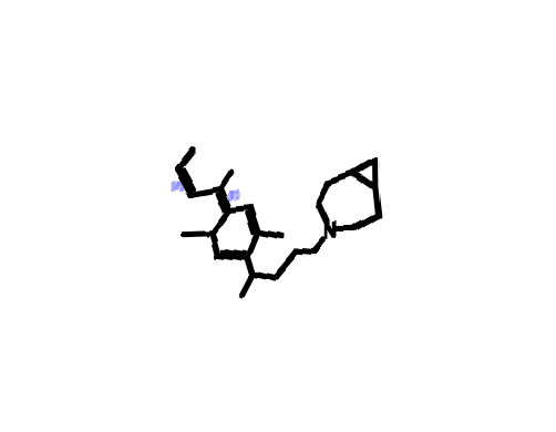 C/C=C\C(C)=C1\C=C(C)C(C(C)CCCN2CCC3CC3CC2)=CC1C